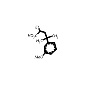 CCC(CC(C)(C)c1cccc(OC)c1)C(=O)O